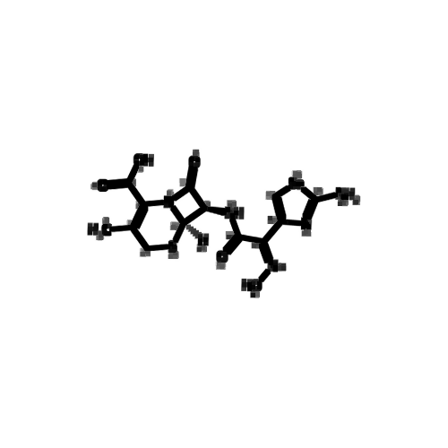 CC1=C(C(=O)O)N2C(=O)[C@@H](NC(=O)/C(=N\O)c3c[se]c(N)n3)[C@H]2SC1